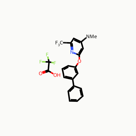 CNc1cc(Oc2cccc(-c3ccccc3)c2)nc(C(F)(F)F)c1.O=C(O)C(F)(F)F